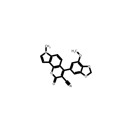 COc1cc(-c2c(C#N)c(=O)oc3c2ccc2c3ccn2C)cc2c1OCO2